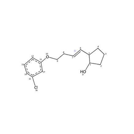 OC1CCCC1/C=C/CCOc1cccc(Cl)c1